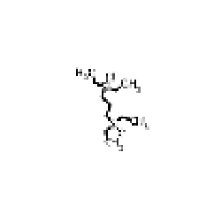 CC[Si](Cl)(CC)CCC[Si](Cl)(CC)CC